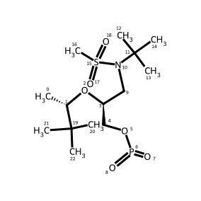 C[C@H](O[C@H](COP(=O)=O)CN(C(C)(C)C)S(C)(=O)=O)C(C)(C)C